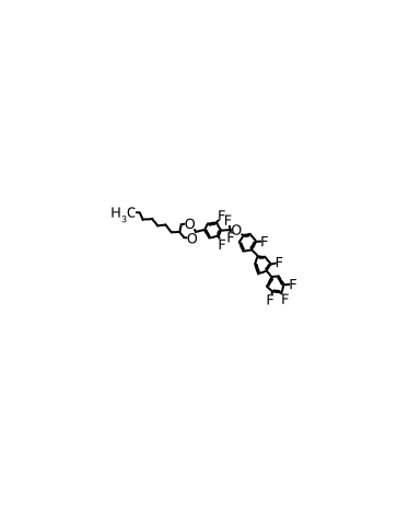 CCCCCCCC1COC(c2cc(F)c(C(F)(F)Oc3ccc(-c4ccc(-c5cc(F)c(F)c(F)c5)c(F)c4)c(F)c3)c(F)c2)OC1